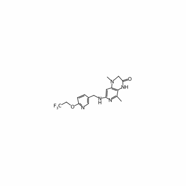 Cc1nc(NCc2ccc(OCC(F)(F)F)nc2)cc2c1NC(=O)CN2C